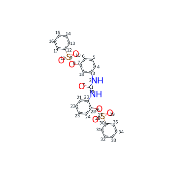 O=C(Nc1cccc(OS(=O)(=O)c2ccccc2)c1)Nc1ccccc1OS(=O)(=O)c1ccccc1